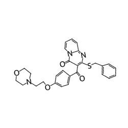 O=C(c1ccc(OCCN2CCOCC2)cc1)c1c(SCc2ccccc2)nc2ccccn2c1=O